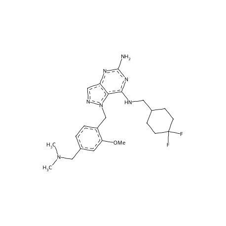 COc1cc(CN(C)C)ccc1Cn1ncc2nc(N)nc(NCC3CCC(F)(F)CC3)c21